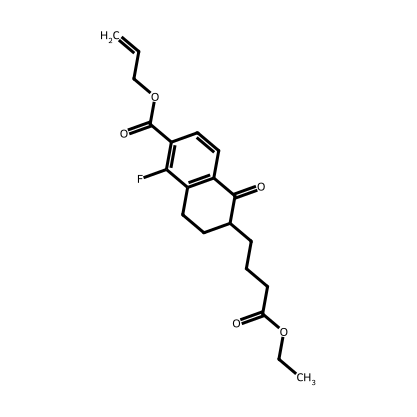 C=CCOC(=O)c1ccc2c(c1F)CCC(CCCC(=O)OCC)C2=O